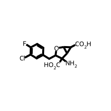 NC1(C(=O)O)C(Cc2ccc(F)c(Cl)c2)OC2C(C(=O)O)C21